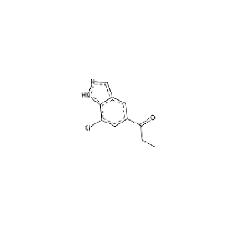 CCC(=O)c1cc(Cl)c2[nH]ncc2c1